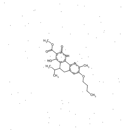 CCCCOc1cc2c(nc1C)-c1[nH]c(=O)c(C(=O)OC)c(O)c1C(C(C)C)C2